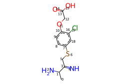 CC(N)C(=N)CSc1ccc(OCC(=O)O)c(Cl)c1